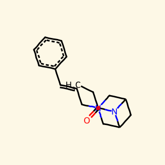 CCC(=O)N1C2CC1CN(C/C=C/c1ccccc1)C2